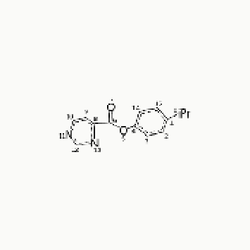 CC(C)c1ccc(OC(=O)c2ccncn2)cc1